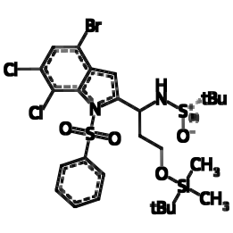 CC(C)(C)[S@+]([O-])NC(CCO[Si](C)(C)C(C)(C)C)c1cc2c(Br)cc(Cl)c(Cl)c2n1S(=O)(=O)c1ccccc1